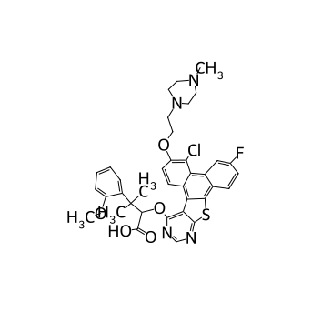 COc1ccccc1C(C)(C)C(Oc1ncnc2sc3c4ccc(F)cc4c4c(Cl)c(OCCN5CCN(C)CC5)ccc4c3c12)C(=O)O